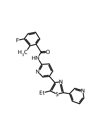 CCc1sc(-c2cccnc2)nc1-c1ccc(NC(=O)c2cccc(F)c2C)nc1